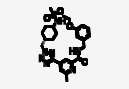 CCOc1cccc(CNC(=O)c2cc(-c3nnn(C[C@H]4CC[C@H](NS(C)(=O)=O)CC4)n3)cc(C)n2)c1